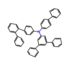 c1ccc(-c2ccc(N(c3ccc(-c4ccccc4-c4ccccc4)cc3)c3cc(-c4ccccc4)cc(-c4ccccc4)c3)cc2)cc1